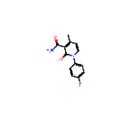 Cc1ccn(-c2ccc(F)cc2)c(=O)c1C(N)=O